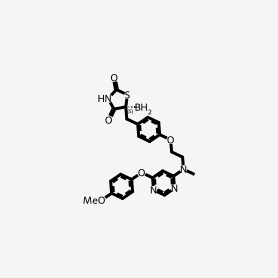 B[C@@]1(Cc2ccc(OCCN(C)c3cc(Oc4ccc(OC)cc4)ncn3)cc2)SC(=O)NC1=O